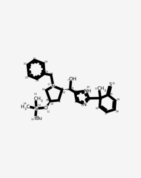 CC1(c2ncc(C(O)[C@@H]3C[C@@H](O[Si](C)(C)C(C)(C)C)CN3Cc3ccccc3)[nH]2)C=CC=CC1=S